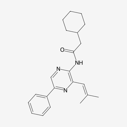 CC(C)=Cc1nc(-c2ccccc2)cnc1NC(=O)CC1CCCCC1